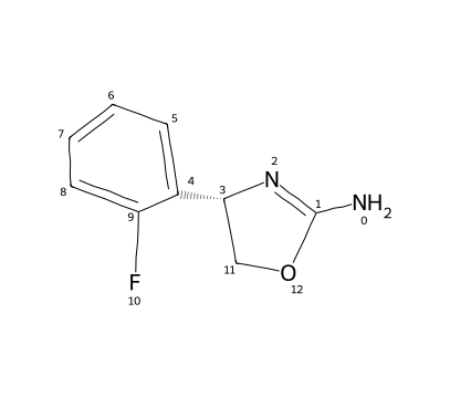 NC1=N[C@@H](c2ccccc2F)CO1